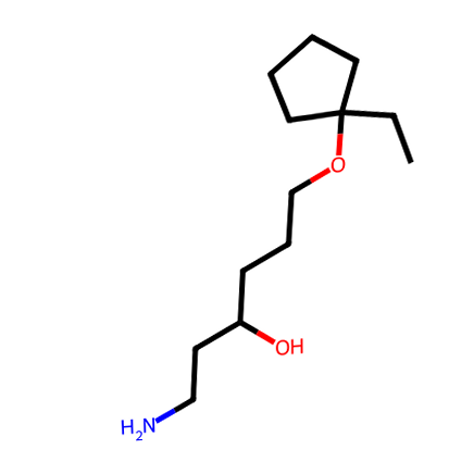 CCC1(OCCCC(O)CCN)CCCC1